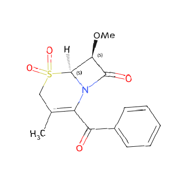 CO[C@H]1C(=O)N2C(C(=O)c3ccccc3)=C(C)CS(=O)(=O)[C@@H]12